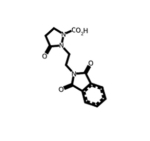 O=C1c2ccccc2C(=O)N1CCN1C(=O)CCN1C(=O)O